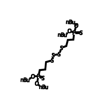 CCCCOP(=S)(CCCSSSSCCCP(=S)(OCCCC)OCCCC)OCCCC